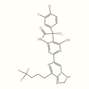 CC1(c2ccc(Cl)c(F)c2)C(=O)Nc2nc(C3=CN4NCN=C4C(CCCC(F)(F)F)=N3)nc(O)c21